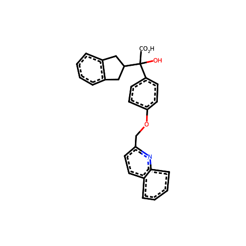 O=C(O)C(O)(c1ccc(OCc2ccc3ccccc3n2)cc1)C1Cc2ccccc2C1